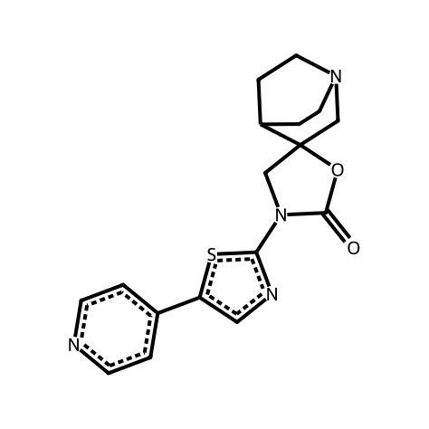 O=C1OC2(CN3CCC2CC3)CN1c1ncc(-c2ccncc2)s1